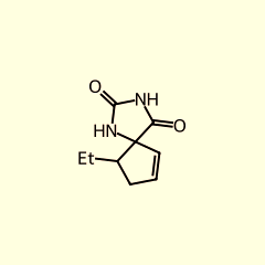 CCC1CC=CC12NC(=O)NC2=O